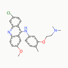 COc1ccc2nc3cc(Cl)ccc3c(Nc3ccc(C)c(OCCN(C)C)c3)c2c1